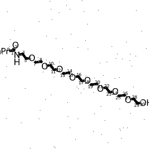 CCCC(=O)NCCOCCOCCOCCOCCOCCOCCOCCOCCO